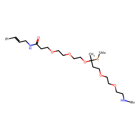 CCC(C)NCCOCCOCCC(C)(OCCOCCOCCC(=O)NC/C=C/C(C)C)SSC